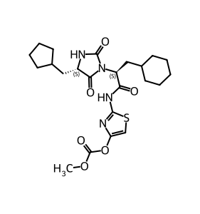 COC(=O)Oc1csc(NC(=O)[C@H](CC2CCCCC2)N2C(=O)N[C@@H](CC3CCCC3)C2=O)n1